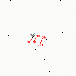 CO.OO.OO